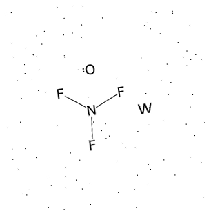 FN(F)F.[O].[W]